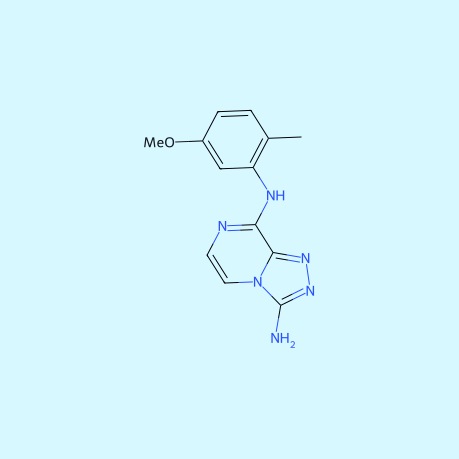 COc1ccc(C)c(Nc2nccn3c(N)nnc23)c1